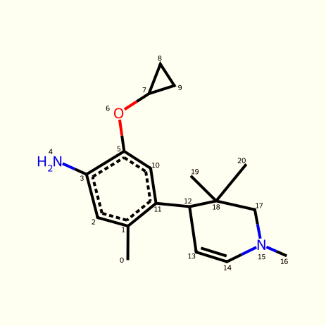 Cc1cc(N)c(OC2CC2)cc1C1C=CN(C)CC1(C)C